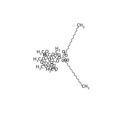 CCCCCCCCCCCCCCCCS(=O)(=O)CC(CO[C@H]1O[C@H](COC(C)=O)[C@@H](O[C@@H]2O[C@H](COC(C)=O)[C@H](OC(C)=O)[C@H](OC(C)=O)[C@H]2OC(C)=O)[C@H](OC(C)=O)[C@H]1OC(C)=O)CS(=O)(=O)CCCCCCCCCCCCCCCC